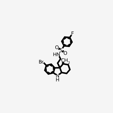 C=C1CCCC2Nc3ccc(Br)cc3C12CCNS(=O)(=O)c1ccc(F)cc1